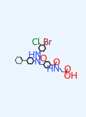 O=C(O)CCNC(=O)c1ccc(CN(C(=O)Nc2ccc(Br)c(Cl)c2)c2ccc(C3=CCCCC3)cc2)cc1